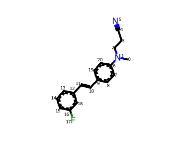 CN(CCC#N)c1ccc(/C=C/c2cccc(F)c2)cc1